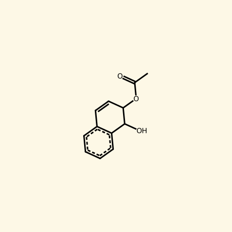 CC(=O)OC1C=Cc2ccccc2C1O